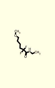 CCNC(=O)C(F)(F)CCCCOC